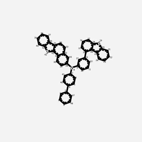 c1ccc(-c2ccc(N(c3cccc(-c4cccc5sc6ccccc6c45)c3)c3ccc4c(ccc5c6ccccc6sc45)c3)cc2)cc1